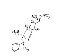 CCC(C(CO[N+](=O)[O-])O[N+](=O)[O-])C1(C)C=C2CC(CN)(CC(C)(c3ccccc3)C2)C1